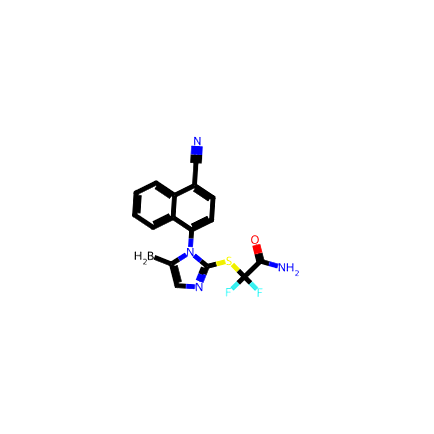 Bc1cnc(SC(F)(F)C(N)=O)n1-c1ccc(C#N)c2ccccc12